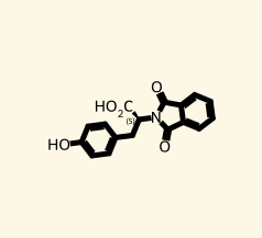 O=C(O)[C@H](Cc1ccc(O)cc1)N1C(=O)c2ccccc2C1=O